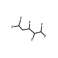 FC(F)CC(F)C(F)C(F)F